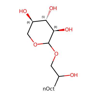 CCCCCCCCC(O)COC1OC[C@@H](O)[C@H](O)[C@H]1O